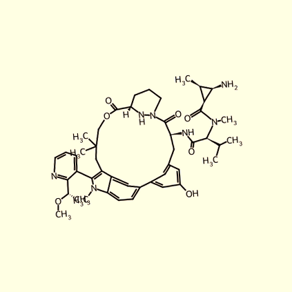 CO[C@@H](C)c1ncccc1-c1c2c3cc(ccc3n1C)-c1cc(O)cc(c1)C[C@H](NC(=O)[C@H](C(C)C)N(C)C(=O)[C@H]1[C@@H](C)[C@H]1N)C(=O)N1CCC[C@H](N1)C(=O)OCC(C)(C)C2